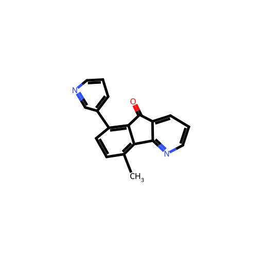 Cc1ccc(-c2cccnc2)c2c1-c1ncccc1C2=O